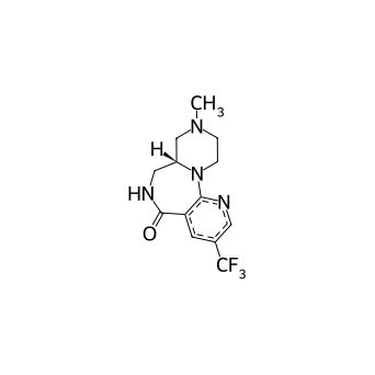 CN1CCN2c3ncc(C(F)(F)F)cc3C(=O)NC[C@@H]2C1